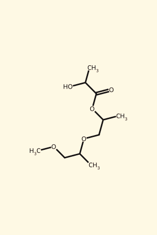 COCC(C)OCC(C)OC(=O)C(C)O